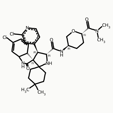 CN(C)C(=O)[C@@H]1CC[C@@H](NC(=O)[C@@H]2NC3(CCC(C)(C)CC3)[C@@]3(C(=O)NC4C=C(Cl)C=CC43)[C@H]2c2ccnc(Cl)n2)CO1